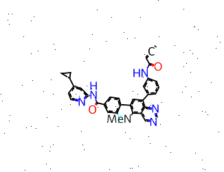 C=C=CC(=O)Nc1cccc(-c2cc(-c3ccc(C(=O)Nc4cc(C5CC5)ccn4)cc3F)c(NC)c3cncnc23)c1